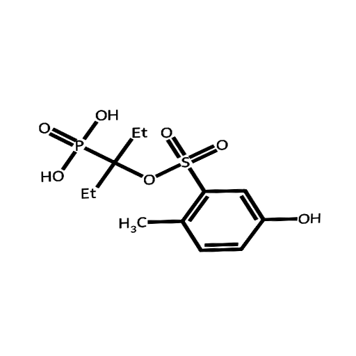 CCC(CC)(OS(=O)(=O)c1cc(O)ccc1C)P(=O)(O)O